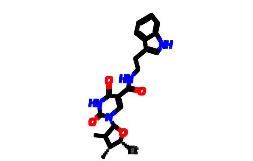 CC[C@H]1O[C@@H](n2cc(C(=O)NCCc3c[nH]c4ccccc34)c(=O)[nH]c2=O)C(C)[C@H]1C